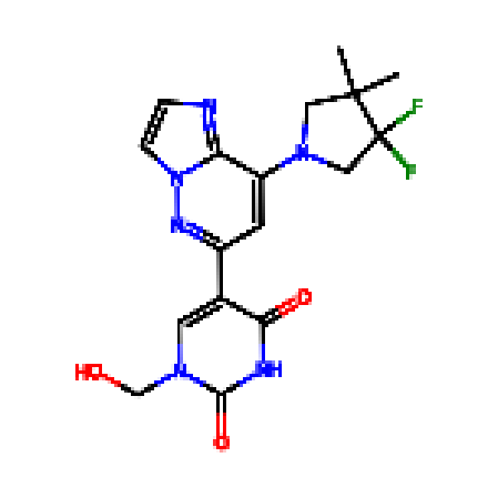 CC1(C)CN(c2cc(-c3cn(CO)c(=O)[nH]c3=O)nn3ccnc23)CC1(F)F